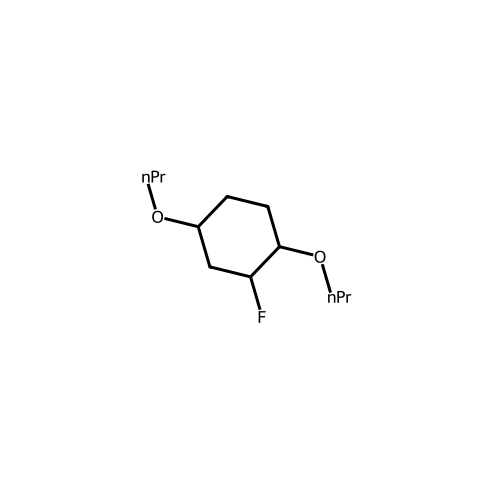 CCCOC1CCC(OCCC)C(F)C1